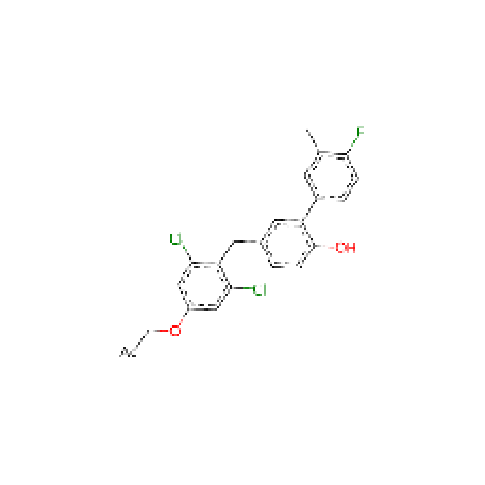 CC(=O)COc1cc(Cl)c(Cc2ccc(O)c(-c3ccc(F)c(C)c3)c2)c(Cl)c1